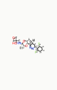 CC[C@@H](O[C@]12CC[C@H](C1)c1cc(-c3c(F)cccc3F)nnc12)C(=O)NCC1(O)COC1